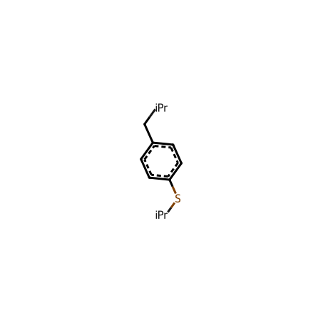 CC(C)Cc1ccc(SC(C)C)cc1